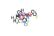 C[C@@H]1[C@H]2[C@@H]3CC[C@H](CN2c2nc(OC[C@@]45CCCN4C[C@H](F)C5)nc4c(F)c(Cl)nc(c24)[C@@H]1C)N3C(=O)OC(C)(C)C